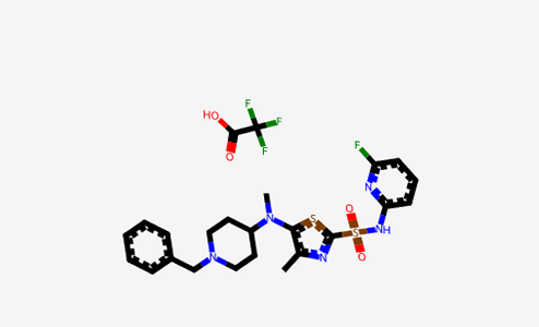 Cc1nc(S(=O)(=O)Nc2cccc(F)n2)sc1N(C)C1CCN(Cc2ccccc2)CC1.O=C(O)C(F)(F)F